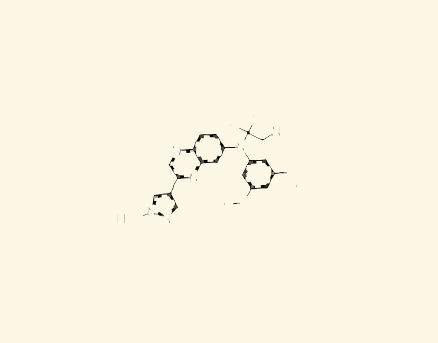 COc1cc(OC)cc(N(c2ccc3ncc(-c4cnn(C)c4)nc3c2)C(C)(S)CN)c1